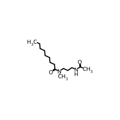 CCCCCCCCC(=O)N(C)CCCNC(C)=O